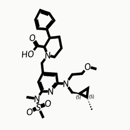 COCCN(C[C@H]1C[C@@H]1C)c1cc(CN2CCCC(c3ccccc3)C2C(=O)O)cc(N(C)S(C)(=O)=O)n1